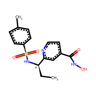 CC[C@@H](NS(=O)(=O)c1ccc(C)cc1)c1cc(C(=O)NO)ccn1